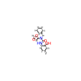 Cc1ccc(NC(=O)N(Cc2ccccc2)C2=COCO2)c(O)c1